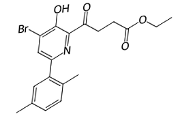 CCOC(=O)CCC(=O)c1nc(-c2cc(C)ccc2C)cc(Br)c1O